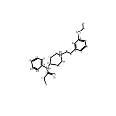 CCOc1cccc(CCN2CCC(N(C(=O)CC)c3ccccc3)CC2)c1